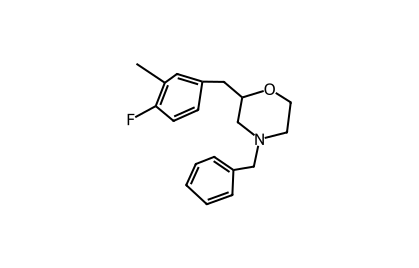 Cc1cc(CC2CN(Cc3ccccc3)CCO2)ccc1F